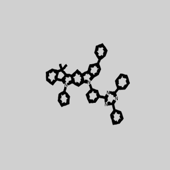 CC1(C)c2ccccc2-c2c1c1cc3c4cc(-c5ccccc5)ccc4n(-c4cccc(-c5nc(-c6ccccc6)nc(-c6ccccc6)n5)c4)c3cc1n2-c1ccccc1